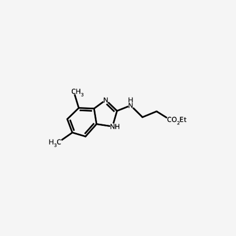 CCOC(=O)CCNc1nc2c(C)cc(C)cc2[nH]1